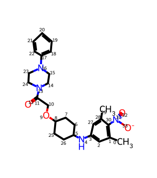 Cc1cc(NC2CCC(OCC(=O)N3CCN(c4ccccc4)CC3)CC2)cc(C)c1[N+](=O)[O-]